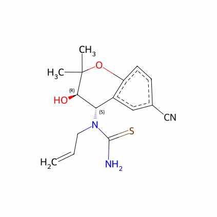 C=CCN(C(N)=S)[C@H]1c2cc(C#N)ccc2OC(C)(C)[C@@H]1O